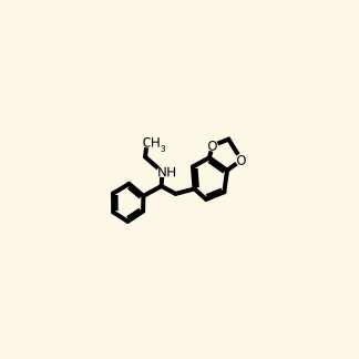 CCNC(Cc1ccc2c(c1)OCO2)c1ccccc1